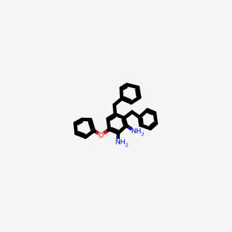 Nc1c(Oc2ccccc2)cc(Cc2ccccc2)c(Cc2ccccc2)c1N